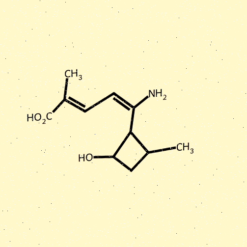 C/C(=C\C=C(\N)C1C(C)CC1O)C(=O)O